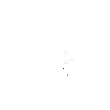 COCCOCCOCCOCCOCCOCCOCCOCCOc1nn([C@H]2CC[C@H](N3[C@@H]4CC[C@H]3COC4)CC2)cc1Nc1ncc(-c2ccc(Cl)c(O[C@@H](C)Cn3cncn3)c2)cn1